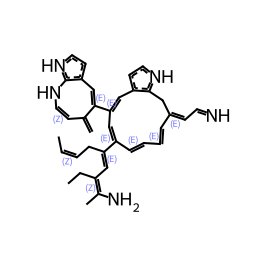 C=C1/C=C\Nc2[nH]ccc2/C=C1/C1=C/c2cc[nH]c2CC(=C\C=N)/C=C/C=C/C(C(=C/C(CC)=C(/C)N)/C/C=C\C)=C\1